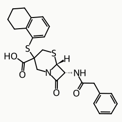 O=C(Cc1ccccc1)N[C@@H]1C(=O)N2CC(Sc3cccc4c3CCCC4)(C(=O)O)CS[C@H]12